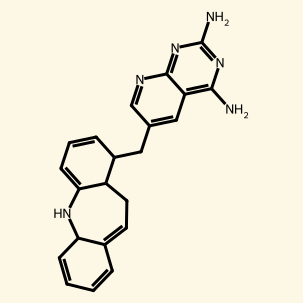 Nc1nc(N)c2cc(CC3C=CC=C4NC5C=CC=CC5=CCC43)cnc2n1